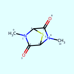 CN1C(=O)C2SC1C(=O)N2C